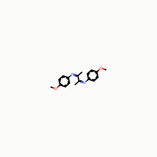 COc1ccc(/N=C(C)\C(C)=N/c2ccc(OC)cc2)cc1